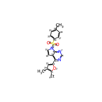 CCc1oc(-c2ncnc3c2ccn3S(=O)(=O)c2ccc(C)cc2)cc1C